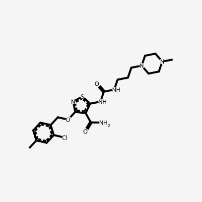 Cc1ccc(COc2nsc(NC(=O)NCCCN3CCN(C)CC3)c2C(N)=O)c(Cl)c1